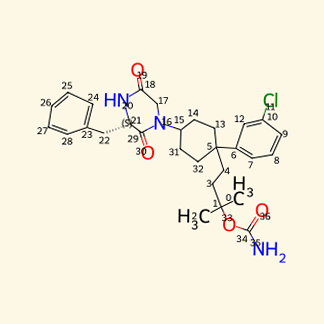 CC(C)(CCC1(c2cccc(Cl)c2)CCC(N2CC(=O)N[C@@H](Cc3ccccc3)C2=O)CC1)OC(N)=O